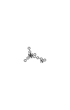 c1ccc(-c2ccc(-c3nc(-c4ccc(-c5ccccc5)cc4)nc(-c4ccc(-c5ccc(-c6ccc7c(c6)ncc6ccccc67)cc5)c5ccccc45)n3)cc2)cc1